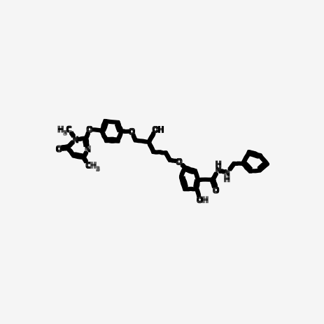 Cc1cc(=O)n(C)c(Oc2ccc(OCC(O)CCCOc3ccc(O)c(C(=O)NNCc4ccccc4)c3)cc2)n1